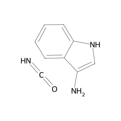 N=C=O.Nc1c[nH]c2ccccc12